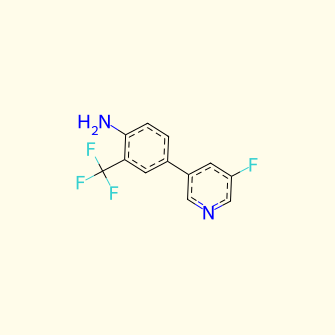 Nc1ccc(-c2cncc(F)c2)cc1C(F)(F)F